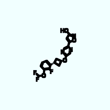 Oc1cc(-c2cnc(O[C@H]3C[C@@H](c4cccc(OC(F)F)c4F)C3)cn2)on1